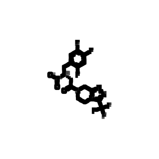 O=C(C[C@@H](Cc1cc(F)c(F)cc1F)[N+](=O)[O-])N1CCn2c(nnc2C(F)(F)F)C1